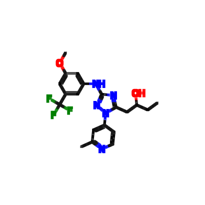 CCC(O)Cc1nc(Nc2cc(OC)cc(C(F)(F)F)c2)nn1-c1ccnc(C)c1